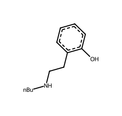 CCCCNCCc1ccccc1O